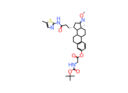 CO/N=C1\C[C@@H](CCC(=O)Nc2ncc(C)s2)C2C3CCc4cc(OC(=O)CNC(=O)OC(C)(C)C)ccc4C3CC[C@]12C